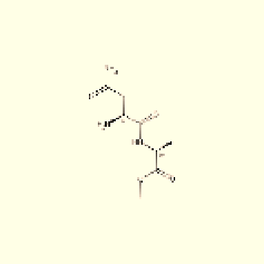 COC(=O)[C@H](C)NC(=O)[C@@H](N)CC(N)=O